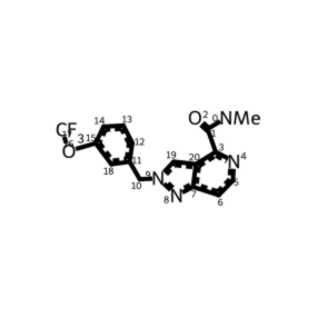 CNC(=O)c1nccc2nn(Cc3cccc(OC(F)(F)F)c3)cc12